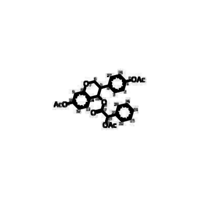 CC(=O)Oc1ccc(C2COc3cc(OC(C)=O)ccc3C2OC(=O)C(OC(C)=O)c2ccccc2)cc1